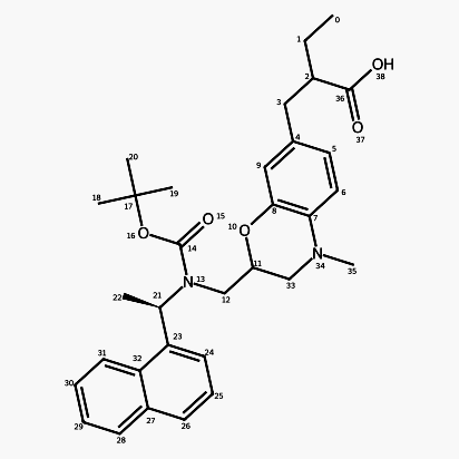 CCC(Cc1ccc2c(c1)OC(CN(C(=O)OC(C)(C)C)[C@H](C)c1cccc3ccccc13)CN2C)C(=O)O